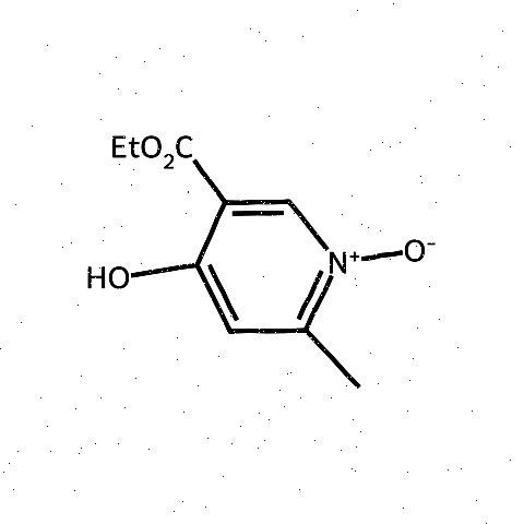 CCOC(=O)c1c[n+]([O-])c(C)cc1O